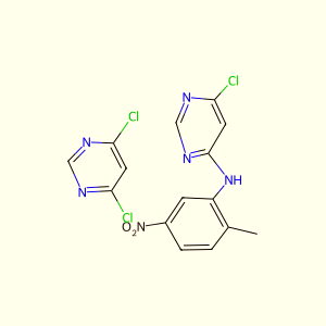 Cc1ccc([N+](=O)[O-])cc1Nc1cc(Cl)ncn1.Clc1cc(Cl)ncn1